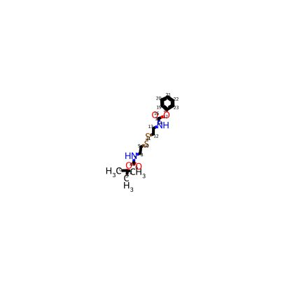 CC(C)(C)OC(=O)NCCSSCCNC(=O)Oc1ccccc1